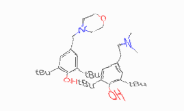 CC(C)(C)c1cc(CN2CCOCC2)cc(C(C)(C)C)c1O.CN(C)Cc1cc(C(C)(C)C)c(O)c(C(C)(C)C)c1